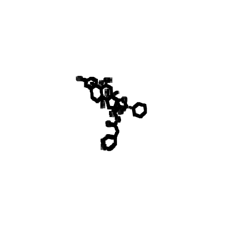 C[C@]12C=CC(=O)C=C1CC[C@@H]1[C@@H]2[C@@H](O)C[C@@]2(C)[C@H]1C[C@H]1O[C@@H](C3CCCCC3)O[C@]12C(=O)COC(=O)Cc1ccncc1